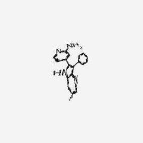 Nc1cc(-c2[nH]c3cc(F)cnc3c2-c2ccccc2)ccn1